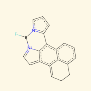 FB1n2cccc2-c2c3c(c4c5c(cccc25)CCC=4)=CC=[N+]13